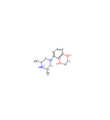 CCC1CN(c2cccc3c2OCCO3)CC(CC)N1